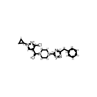 O=C(c1cn(C2CC2)nc1Cl)N1CCN(c2nc(Cc3ccccc3)ns2)CC1